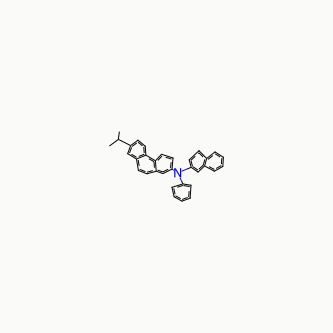 CC(C)c1ccc2c(ccc3cc(N(c4ccccc4)c4ccc5ccccc5c4)ccc32)c1